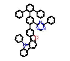 c1ccc(-c2ncnc(-c3cc(-c4c(-c5ccccc5)cccc4-c4ccccc4)ccc3-c3ccc4c(c3)oc3ccc5c6ccccc6n(-c6ccccc6)c5c34)n2)cc1